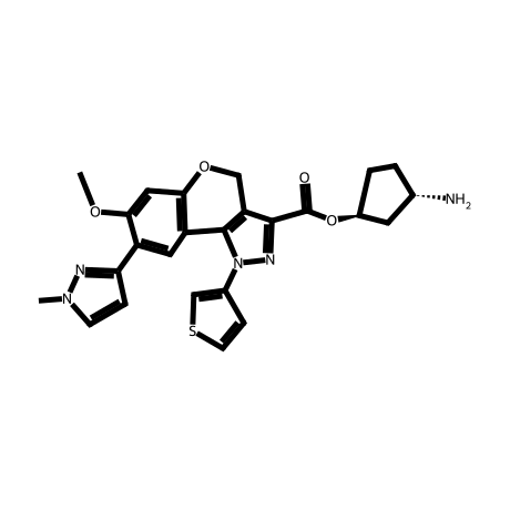 COc1cc2c(cc1-c1ccn(C)n1)-c1c(c(C(=O)O[C@H]3CC[C@H](N)C3)nn1-c1ccsc1)CO2